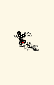 COc1ccc(C2(c3ccc(OCCOC(C)(C)CC[Si](OC(C)(C)C)(OC(C)(C)C)OC(C)(C)C)cc3)C=Cc3c4c(c5cc(OC)c(OC)cc5c3O2)-c2ccccc2C4(C)C)cc1